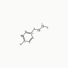 COSCc1ccc(C)nc1